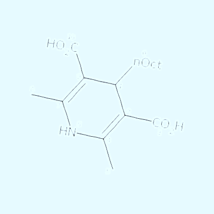 CCCCCCCCC1C(C(=O)O)=C(C)NC(C)=C1C(=O)O